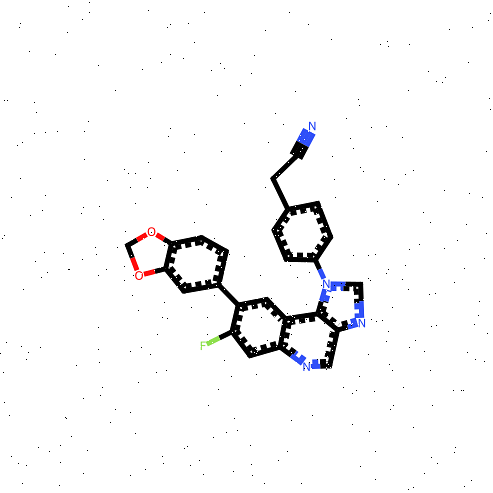 N#CCc1ccc(-n2cnc3cnc4cc(F)c(-c5ccc6c(c5)OCO6)cc4c32)cc1